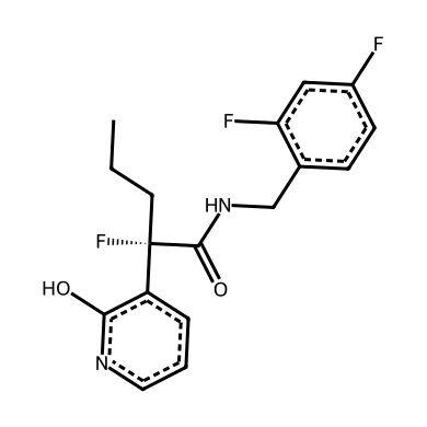 CCC[C@@](F)(C(=O)NCc1ccc(F)cc1F)c1cccnc1O